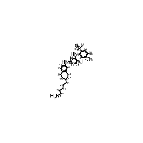 COc1cc(Nc2nc(Nc3ccc4c(c3)CC[C@@H](CCCCCN)CC4)ncc2Cl)c(P(C)(C)=O)cc1F